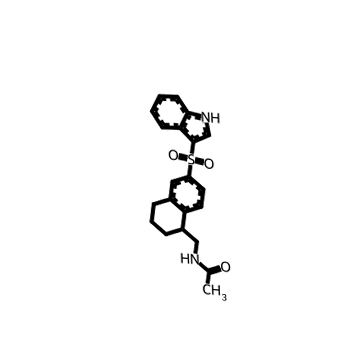 CC(=O)NCC1CCCc2cc(S(=O)(=O)c3c[nH]c4ccccc34)ccc21